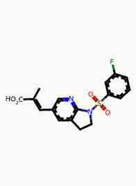 C/C(=C\c1cnc2c(c1)CCN2S(=O)(=O)c1cccc(F)c1)C(=O)O